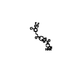 O=C(CCc1ccc(OC(F)(F)F)c(Cl)c1)N1CCc2nc(C(=O)N3CCc4[nH]nnc4C3)nn2CC1